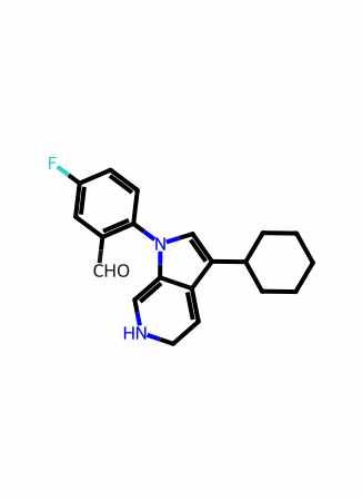 O=Cc1cc(F)ccc1-n1cc(C2CCCCC2)c2c1=CNCC=2